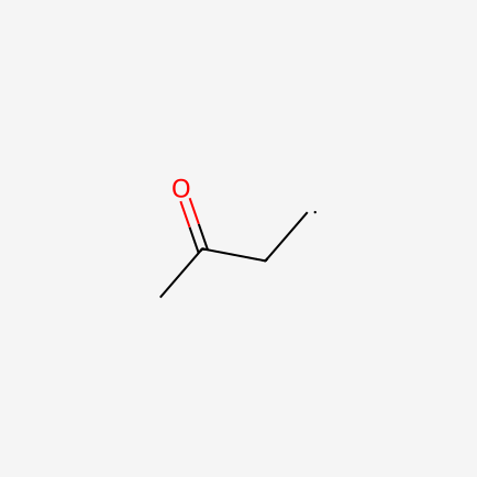 [CH2]CC(C)=O